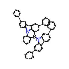 c1ccc(-c2ccc3c(c2)c2cc(-c4ccccc4)cc4c2n3-c2ccccc2B4n2c3cc(-c4ccccc4)ccc3c3ccc(-c4ccccc4)cc32)cc1